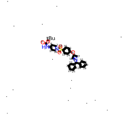 CC(C)(C)OC(=O)NC1CCN(S(=O)(=O)c2ccc(OC3CN(C(c4ccccc4)c4ccccc4)C3)cc2)CC1